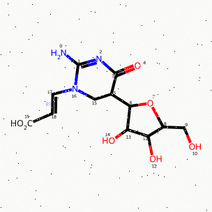 NC1=NC(=O)C(C2OC(CO)C(O)C2O)CN1/C=C/C(=O)O